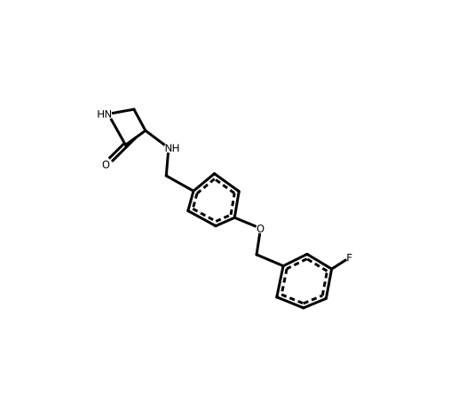 O=C1NCC1NCc1ccc(OCc2cccc(F)c2)cc1